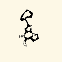 O=c1[nH]c2cc(-c3ccccc3)sc2n2cccc12